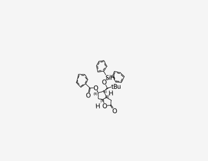 CC(C)(C)C(O[SiH](c1ccccc1)c1ccccc1)[C@H]1[C@H]2CC(=O)O[C@H]2C[C@H]1OC(=O)c1ccccc1